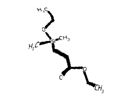 CCOC(=O)CC[Si](C)(C)OCC